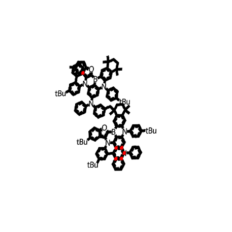 Cc1ccc2oc3c(c2c1)N(c1ccc(C(C)(C)C)cc1-c1ccccc1)c1cc(N(c2ccccc2)c2cccc(CC4(C)CCC(C)(C)c5cc6c(cc54)B4c5oc7ccc(C(C)(C)C)cc7c5N(c5ccc(C(C)(C)C)cc5-c5ccccc5)c5cc(N(c7ccccc7)c7ccccc7)cc(c54)N6c4ccc(C(C)(C)C)cc4)c2)cc2c1B3c1cc3c(cc1N2c1ccc(C(C)(C)C)cc1)C(C)(C)CCC3(C)C